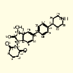 Cn1c(=O)n(N2C(=O)CCCC2=O)c2ccc(-c3ccc(C4CCNCC4)cc3)cc21